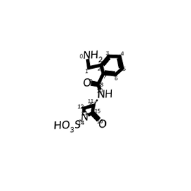 NCc1ccccc1C(=O)N[C@H]1CN(S(=O)(=O)O)C1=O